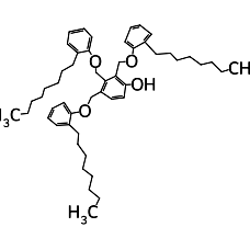 CCCCCCCCc1ccccc1OCc1ccc(O)c(COc2ccccc2CCCCCCCC)c1COc1ccccc1CCCCCCCC